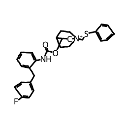 O=C(Nc1ccccc1Cc1ccc(F)cc1)OC1C[N+]2(CSc3ccccc3)CCC1CC2